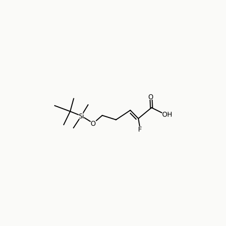 CC(C)(C)[Si](C)(C)OCC/C=C(\F)C(=O)O